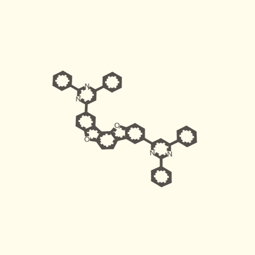 c1ccc(-c2cc(-c3ccc4oc5c(ccc6oc7ccc(-c8cc(-c9ccccc9)nc(-c9ccccc9)n8)cc7c65)c4c3)nc(-c3ccccc3)n2)cc1